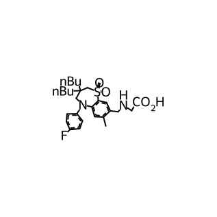 CCCCC1(CCCC)CN(c2ccc(F)cc2)c2cc(C)c(CNCC(=O)O)cc2S(=O)(=O)C1